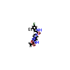 CCc1cc(F)cc2[nH]c(C(=O)N3CCn4nc(NS(=O)(=O)C5CC5)cc4C3)cc12